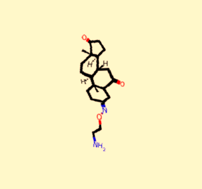 C[C@]12CCC(=NOCCN)CC1C(=O)C[C@@H]1[C@@H]2CC[C@]2(C)C(=O)CC[C@@H]12